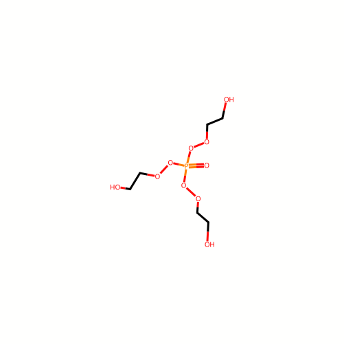 O=P(OOCCO)(OOCCO)OOCCO